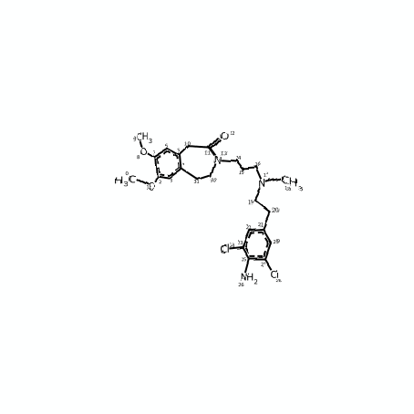 COc1cc2c(cc1OC)CC(=O)N(CCCN(C)CCc1cc(Cl)c(N)c(Cl)c1)CC2